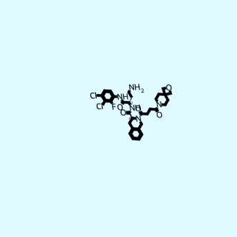 NCC[C@H](NC(=O)[C@@H]1Cc2ccccc2CN1C(=O)CCC(=O)N1CCC2(CC1)COC2)C(=O)Nc1ccc(Cl)c(Cl)c1F